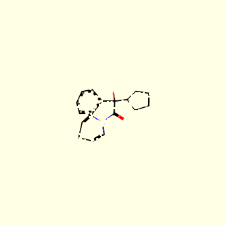 O=C(N1C=CCC=C1)C(O)(c1ccccc1)C1CCCC1